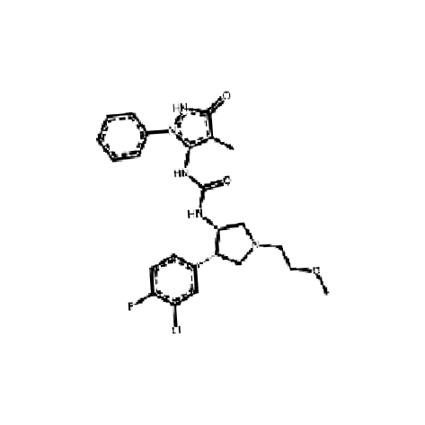 COCCN1C[C@H](NC(=O)Nc2c(C)c(=O)[nH]n2-c2ccccc2)[C@@H](c2ccc(F)c(Cl)c2)C1